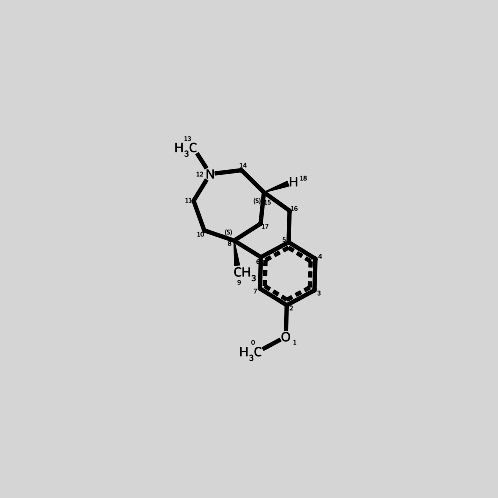 COc1ccc2c(c1)[C@]1(C)CCN(C)C[C@H](C2)C1